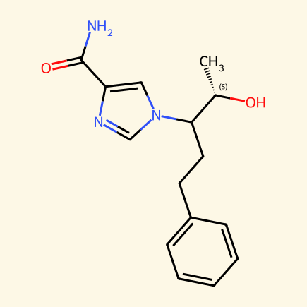 C[C@H](O)C(CCc1ccccc1)n1cnc(C(N)=O)c1